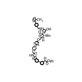 Cc1ncsc1-c1ccc(CNC(=O)[C@@H]2C[C@@H](O)CN2C(=O)[C@@H](NC(=O)COc2cnc(N3CCN(CC(=O)Nc4nc5ccc(-c6cccc(NC(=O)OC(C)C)c6)cc5s4)CC3)nc2)C(C)(C)C)cc1